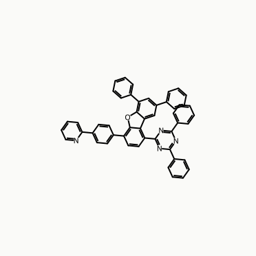 c1ccc(-c2cc(-c3ccccc3)c3oc4c(-c5ccc(-c6ccccn6)cc5)ccc(-c5nc(-c6ccccc6)nc(-c6ccccc6)n5)c4c3c2)cc1